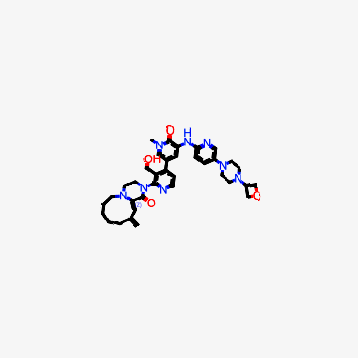 C=C1/C=C2/C(=O)N(c3nccc(-c4cc(Nc5ccc(N6CCN(C7COC7)CC6)cn5)c(=O)n(C)c4)c3CO)CCN2CCCCC1